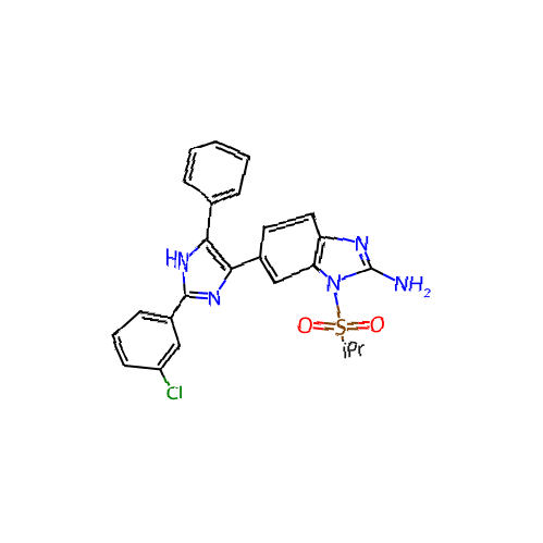 CC(C)S(=O)(=O)n1c(N)nc2ccc(-c3nc(-c4cccc(Cl)c4)[nH]c3-c3ccccc3)cc21